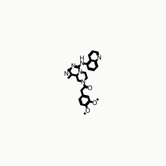 COc1ccc(CC(=O)N2CCN(/C(=N\C#N)Nc3cccc4ncccc34)C(C(C)C)C2)cc1OC